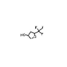 OC1COC(C(F)(F)F)C1